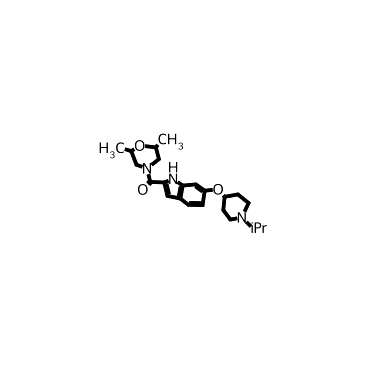 CC1CN(C(=O)c2cc3ccc(OC4CCN(C(C)C)CC4)cc3[nH]2)CC(C)O1